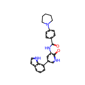 O=C(Nc1cc(-c2cccc3cc[nH]c23)c[nH]c1=O)c1ccc(N2CCCCC2)cc1